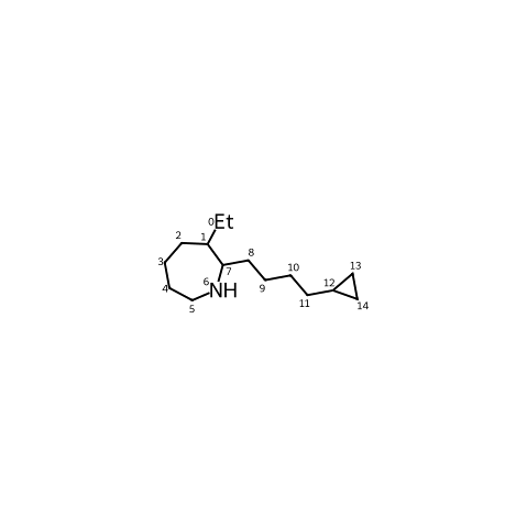 CCC1CCCCNC1CCCCC1CC1